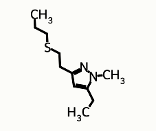 CCCSCCc1cc(CC)n(C)n1